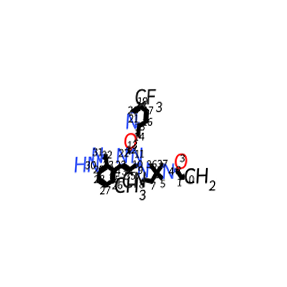 C=CC(=O)N1CC2(CCN(c3nc(OCc4ccc(C(F)(F)F)cn4)nc(-c4c(C)ccc5[nH]ncc45)c3C#N)C2)C1